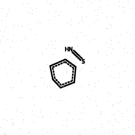 N=S.c1ccccc1